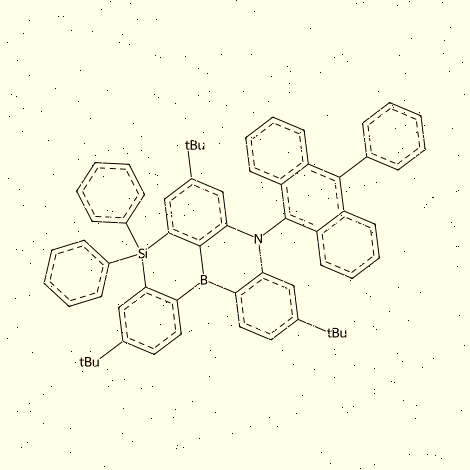 CC(C)(C)c1ccc2c(c1)N(c1c3ccccc3c(-c3ccccc3)c3ccccc13)c1cc(C(C)(C)C)cc3c1B2c1ccc(C(C)(C)C)cc1[Si]3(c1ccccc1)c1ccccc1